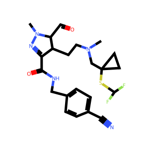 CN(CCC1C(C(=O)NCc2ccc(C#N)cc2)=NN(C)C1C=O)CC1(SC(F)F)CC1